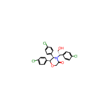 O=C1CO[C@@H](c2ccc(Cl)cc2)[C@@H](c2ccc(Cl)cc2)N1[C@H](CO)c1ccc(Cl)cc1